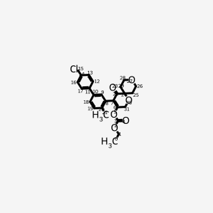 CCOC(=O)OC1=C(c2cc(-c3ccc(Cl)cc3)ccc2C)C(=O)C2(CCOCC2)OC1